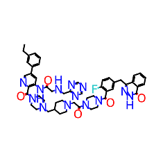 CCc1cccc(-c2cnc(C(=O)N3CCN(CC4CCN(CC(=O)N5CCN(C(=O)c6cc(Cc7n[nH]c(=O)c8ccccc78)ccc6F)CC5)CC4)CC3)c(NC(=O)CNCc3ncncn3)c2)c1